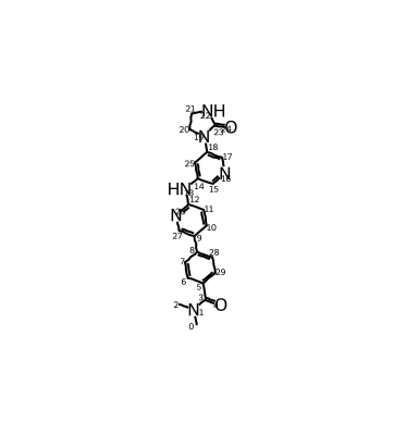 CN(C)C(=O)c1ccc(-c2ccc(Nc3cncc(N4CCNC4=O)c3)nc2)cc1